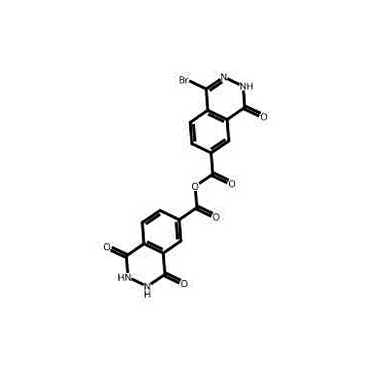 O=C(OC(=O)c1ccc2c(=O)[nH][nH]c(=O)c2c1)c1ccc2c(Br)n[nH]c(=O)c2c1